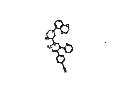 C[C@H](CN(C(=O)c1ccc(C#N)cc1)c1ccccn1)C1CN(c2cccc3c2OCCO3)CCN1